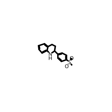 CS(=O)(=O)c1ccc(C2CCc3ccccc3N2)cc1